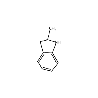 C[C]1Cc2ccccc2N1